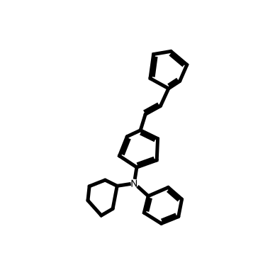 C(=C\c1ccc(N(c2ccccc2)C2CCCCC2)cc1)/c1ccccc1